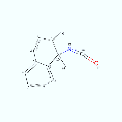 CC1C=Cc2ccccc2C1(C)N=C=O